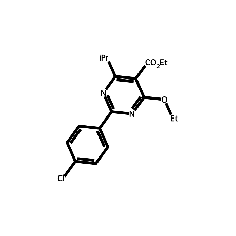 CCOC(=O)c1c(OCC)nc(-c2ccc(Cl)cc2)nc1C(C)C